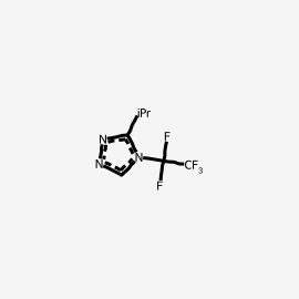 CC(C)c1nncn1C(F)(F)C(F)(F)F